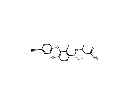 C#Cc1ccc(Oc2c(Cl)ccc([C@@H](CC)N[C@@H](C)CC(N)=O)c2F)cc1